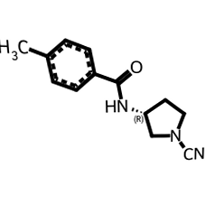 Cc1ccc(C(=O)N[C@@H]2CCN(C#N)C2)cc1